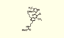 COCCCc1cc([C@@H](C)N(C(=O)[C@H]2CNC[C@@H](C)O2)C2CC2)cc(CCCNC(=O)OC)n1